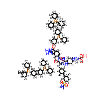 Cc1ccc(S(=O)(=O)N(C)C)cc1-c1ccc(C[C@H](NC(=O)[C@H]2CC[C@H](CNC(=O)O)CC2)C(=O)Nc2ccc3c(=O)[nH][nH]c3c2)cc1.[Pd].c1ccc(P(c2ccccc2)c2ccccc2)cc1.c1ccc(P(c2ccccc2)c2ccccc2)cc1.c1ccc(P(c2ccccc2)c2ccccc2)cc1.c1ccc(P(c2ccccc2)c2ccccc2)cc1